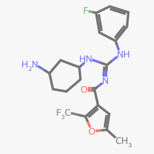 Cc1cc(C(=O)/N=C(/Nc2cccc(F)c2)NC2CCCC(N)C2)c(C(F)(F)F)o1